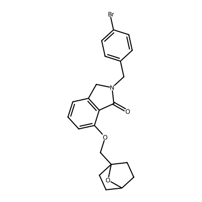 O=C1c2c(cccc2OCC23CCC(CC2)O3)CN1Cc1ccc(Br)cc1